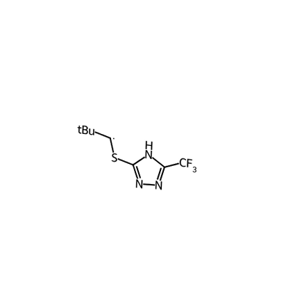 CC(C)(C)[CH]Sc1nnc(C(F)(F)F)[nH]1